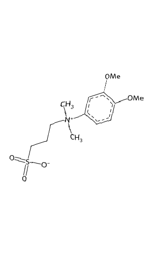 COc1ccc([N+](C)(C)CCCS(=O)(=O)[O-])cc1OC